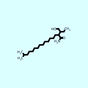 CCC(CO)C(CCCCCCCCCCCCC(C)C)C(N)=O